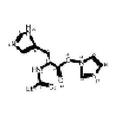 CCC(=O)N[C@@H](Cc1cnc[nH]1)C(=O)On1ccnc1